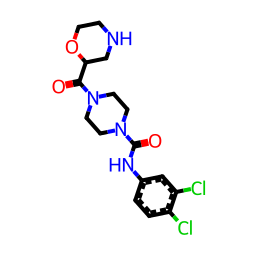 O=C(Nc1ccc(Cl)c(Cl)c1)N1CCN(C(=O)C2CNCCO2)CC1